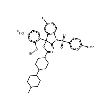 CCOc1ccccc1C1(OC(=O)N2CCN(C3CCN(C)CC3)CC2)C(=O)N(S(=O)(=O)c2ccc(OC)cc2)c2ccc(F)cc21.Cl.Cl